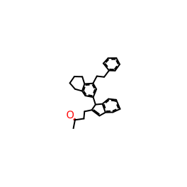 CC(=O)CCC1=Cc2ccccc2C1c1cc2c(c(CCc3ccccc3)c1)CCCC2